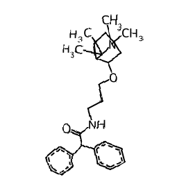 CN1C2(C)CCC(C(OCCCNC(=O)C(c3ccccc3)c3ccccc3)C2)C1(C)C